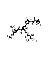 CC(C)[C@H](N)C(=O)OCn1nc([C@H]2C[C@@H](F)[C@@H](OC(=O)NC3(C)CC3)C2)cc1NC(=O)c1cc(COC(F)(F)F)nn1C